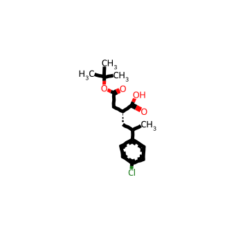 CC(C[C@H](CC(=O)OC(C)(C)C)C(=O)O)c1ccc(Cl)cc1